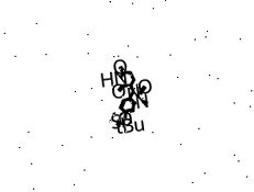 Cn1c(=O)n(C2CCC(=O)NC2=O)c2ccc(O[Si](C)(C)C(C)(C)C)cc21